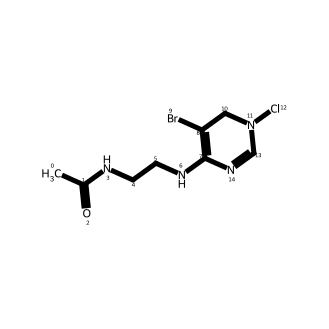 CC(=O)NCCNC1=C(Br)CN(Cl)C=N1